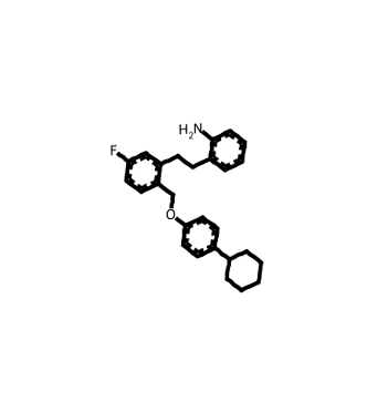 Nc1ccccc1CCc1cc(F)ccc1COc1ccc(C2CCCCC2)cc1